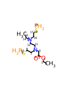 CCOC(=O)CN(CCSP)CCN(CC)CCSP